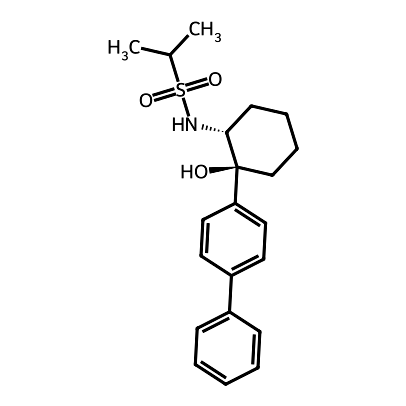 CC(C)S(=O)(=O)N[C@@H]1CCCC[C@]1(O)c1ccc(-c2ccccc2)cc1